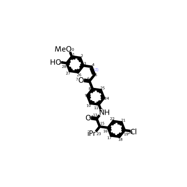 COc1cc(/C=C\C(=O)c2ccc(NC(=O)C(c3ccc(Cl)cc3)C(C)C)cc2)ccc1O